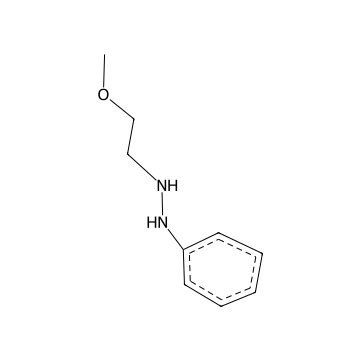 COCCNNc1ccccc1